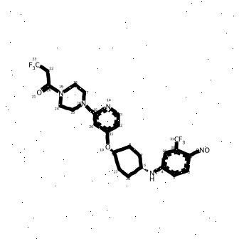 O=Nc1ccc(N[C@H]2CC[C@H](Oc3ccnc(N4CCN(C(=O)CC(F)(F)F)CC4)c3)CC2)cc1C(F)(F)F